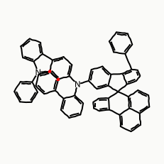 c1ccc(-c2ccccc2N(c2ccc3c(c2)C2(c4ccccc4-c4cccc5cccc2c45)c2cccc(-c4ccccc4)c2-3)c2ccc3c4ccccc4n(-c4ccccc4)c3c2)cc1